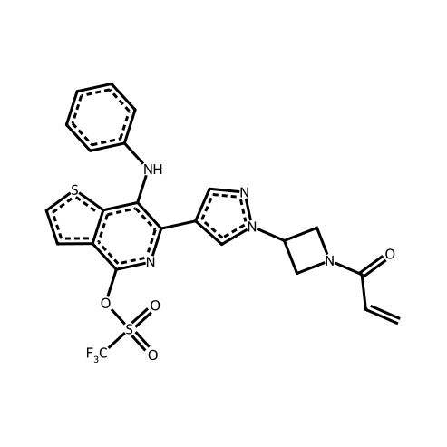 C=CC(=O)N1CC(n2cc(-c3nc(OS(=O)(=O)C(F)(F)F)c4ccsc4c3Nc3ccccc3)cn2)C1